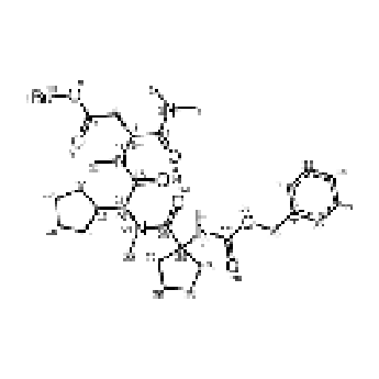 CN(C)C(=O)[C@H](CC(=O)OC(C)(C)C)N(C)C(=O)[C@H](C1CCCC1)N(C)C(=O)C1(NC(=O)OCc2ccccc2)CCCC1